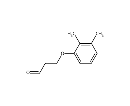 Cc1cccc(OCCC=O)c1C